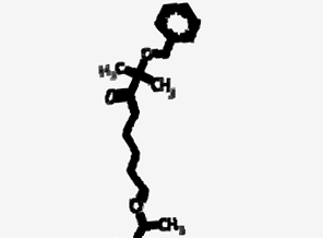 CC(C)OCCCCCC(=O)C(C)(C)OCc1ccccc1